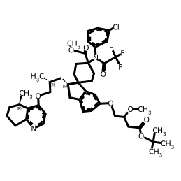 COC(=O)C1(N(C(=O)C(F)(F)F)c2cccc(Cl)c2)CCC2(CC1)c1cc(OCC(CC(=O)OC(C)(C)C)OC)ccc1C[C@@H]2C[C@@H](C)COc1ccnc2c1[C@H](C)CCC2